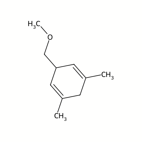 COCC1C=C(C)CC(C)=C1